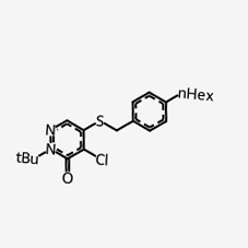 CCCCCCc1ccc(CSc2cnn(C(C)(C)C)c(=O)c2Cl)cc1